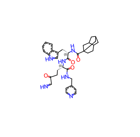 N=CC(=O)CC[C@H](NC(=O)[C@H](Cc1c[nH]c2ccccc12)NC(=O)C12CCC3CC(CC3C1)C2)C(=O)NCc1ccncc1